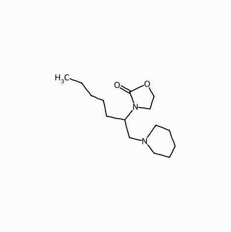 CCCCCC(CN1CCCCC1)N1CCOC1=O